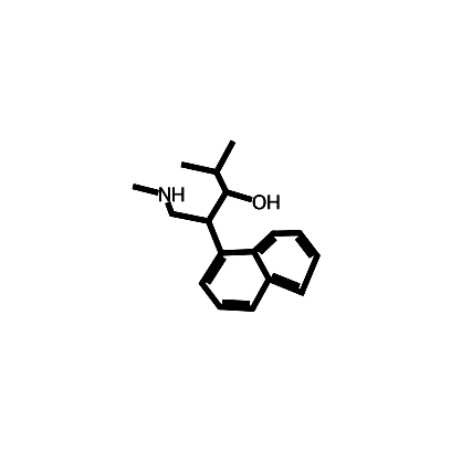 CNCC(c1cccc2ccccc12)C(O)C(C)C